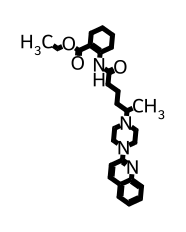 CCOC(=O)C1=C(NC(=O)CCCC(C)N2CCN(c3ccc4ccccc4n3)CC2)CCCC1